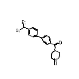 CCC(CC)c1ccc(-c2ccc(C(=O)N3CCNCC3)cc2)cc1